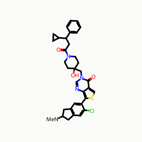 CNC1Cc2cc(Cl)c(-c3scc4c(=O)n(CC5(O)CCN(C(=O)CC(c6ccccc6)C6CC6)CC5)cnc34)cc2C1